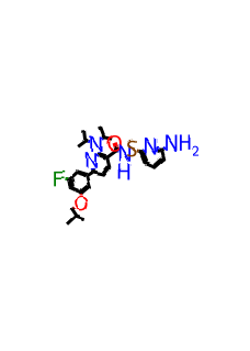 CC(C)COc1cc(F)cc(-c2ccc(C(=O)NSc3cccc(N)n3)c(N(C(C)C)C(C)C)n2)c1